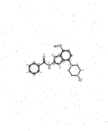 COc1ccc(N2CC[S+]([O-])CC2)c2sc(NC(=O)c3ccccc3)nc12